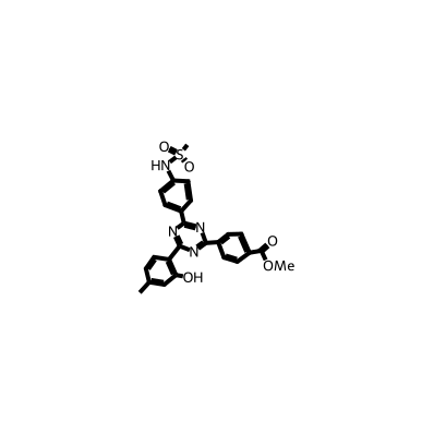 COC(=O)c1ccc(-c2nc(-c3ccc(NS(C)(=O)=O)cc3)nc(-c3ccc(C)cc3O)n2)cc1